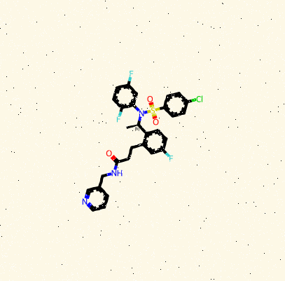 C[C@H](c1ccc(F)cc1CCC(=O)NCc1cccnc1)N(c1cc(F)ccc1F)S(=O)(=O)c1ccc(Cl)cc1